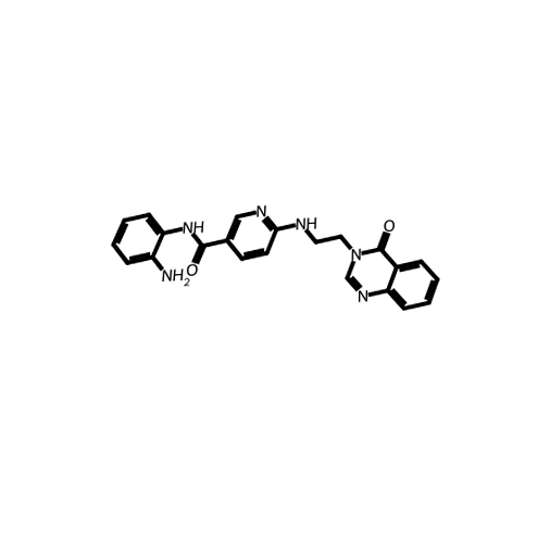 Nc1ccccc1NC(=O)c1ccc(NCCn2cnc3ccccc3c2=O)nc1